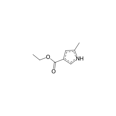 CCOC(=O)c1c[nH]c(C)c1